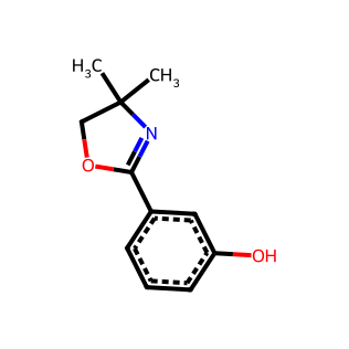 CC1(C)COC(c2cccc(O)c2)=N1